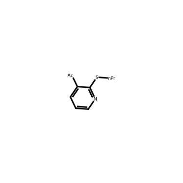 CCCSc1ncccc1C(C)=O